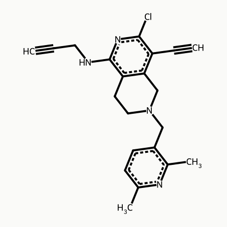 C#CCNc1nc(Cl)c(C#C)c2c1CCN(Cc1ccc(C)nc1C)C2